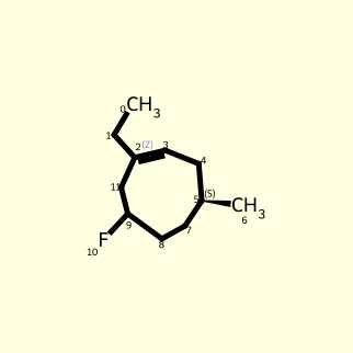 CC/C1=C/C[C@@H](C)CCC(F)C1